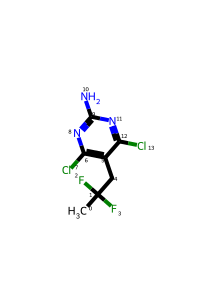 CC(F)(F)Cc1c(Cl)nc(N)nc1Cl